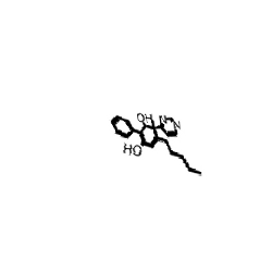 CCCCCC1=CC(O)=C(c2ccccc2)C(O)C1(C)c1ccncn1